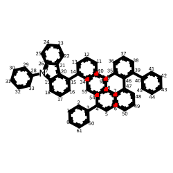 c1ccc(-c2cccc(N(c3cccc(-c4cccc5c4c4ccccc4n5-c4ccccc4)c3)c3cccc(-c4ccccc4)c3-c3ccccc3-c3ccccc3)c2)cc1